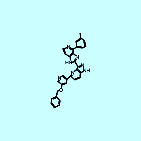 Cc1cccc(-c2nccc3[nH]c(-c4n[nH]c5ccc(-c6cncc(OCc7ccccc7)c6)nc45)nc23)c1